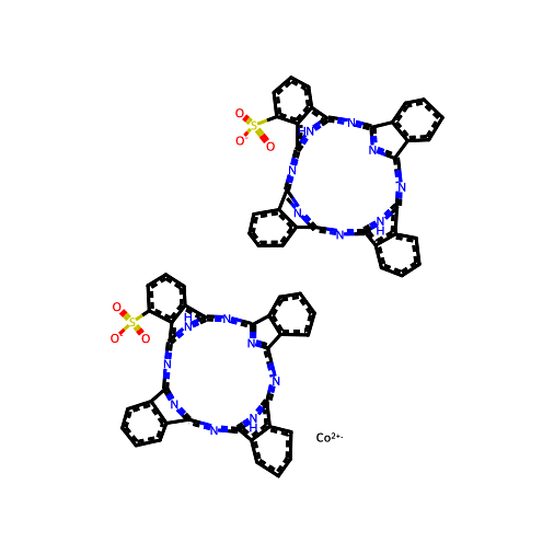 O=S(=O)([O-])c1cccc2c3nc4nc(nc5[nH]c(nc6nc(nc([nH]3)c12)-c1ccccc1-6)c1ccccc51)-c1ccccc1-4.O=S(=O)([O-])c1cccc2c3nc4nc(nc5[nH]c(nc6nc(nc([nH]3)c12)-c1ccccc1-6)c1ccccc51)-c1ccccc1-4.[Co+2]